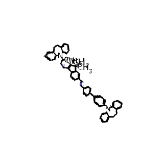 C=C(/C=C\C1=C(C)C(C)(C)c2cc(/C=C/c3ccc(-c4ccc(N5c6ccccc6CCc6ccccc65)cc4)cc3)ccc21)N1c2ccccc2CCc2ccccc21